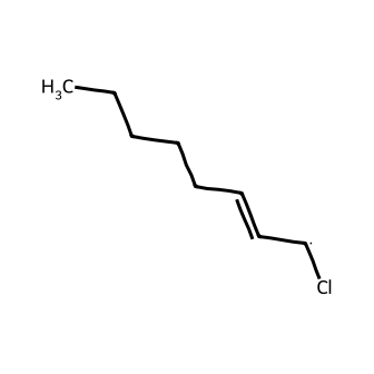 CCCCC/C=C/[CH]Cl